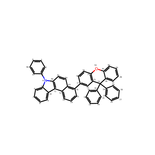 c1ccc(-n2c3ccccc3c3c4cccc(-c5ccc6c(c5)C(c5ccccc5)(c5ccccc5)c5ccccc5O6)c4ccc32)cc1